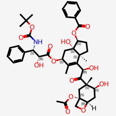 CC(=O)O[C@@]12CO[C@@H]1C[C@H](O)[C@@](C)(C(=O)[C@H](O)C1=C(C)[C@@H](OC(=O)[C@H](O)[C@@H](NC(=O)OC(C)(C)C)c3ccccc3)C[C@@]3(O)[C@@H](OC(=O)c4ccccc4)CC[C@@]13C)C2